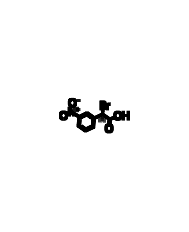 O=C(O)[C@H](Br)c1cccc([N+](=O)[O-])c1